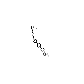 CCCCCCCCc1ccc(-c2ccc(C3CCC(CC)CC3)cc2)cc1